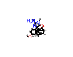 COc1ccc(C2(C34CC5CC(CC(C5)C3)C4)N=C(N)N(C)C2=O)cc1